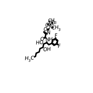 CCCCCC(O)C(O)C(Cc1cc(F)cc(F)c1)NC(=O)c1coc(N(C)S(C)(=O)=O)n1